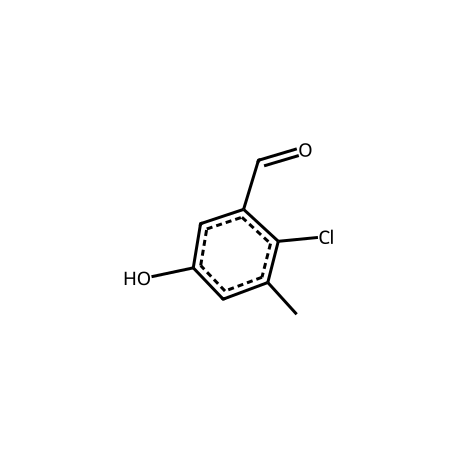 Cc1cc(O)cc(C=O)c1Cl